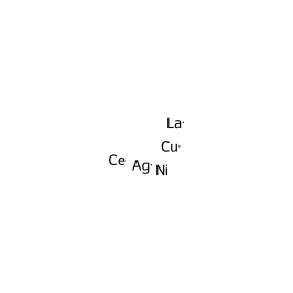 [Ag].[Ce].[Cu].[La].[Ni]